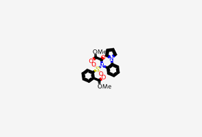 COC(=O)C(=O)N(c1ccccc1-n1cccc1)S(=O)(=O)c1ccccc1C(=O)OC